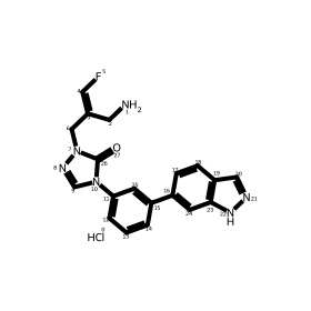 Cl.NC/C(=C\F)Cn1ncn(-c2cccc(-c3ccc4cn[nH]c4c3)c2)c1=O